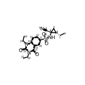 CC[C@H]1C[C@@]1(C#N)NS(=O)(=O)c1ccc2c(c1)c(=O)n(CC)c(=O)n2CC